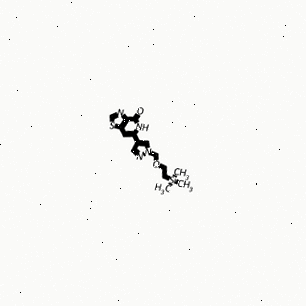 C[Si](C)(C)CCOCn1cc(-c2cc3scnc3c(=O)[nH]2)cn1